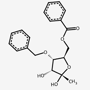 C[C@]1(O)O[C@H](COC(=O)c2ccccc2)[C@@H](OCc2ccccc2)[C@H]1O